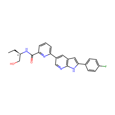 CC[C@H](CO)NC(=O)c1cccc(-c2cnc3[nH]c(-c4ccc(F)cc4)cc3c2)n1